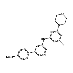 COc1ccc(-c2cnnc(Nc3cc(F)nc(N4CCOCC4)n3)c2)cc1